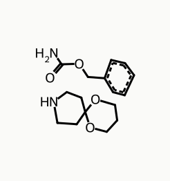 C1COC2(CCNCC2)OC1.NC(=O)OCc1ccccc1